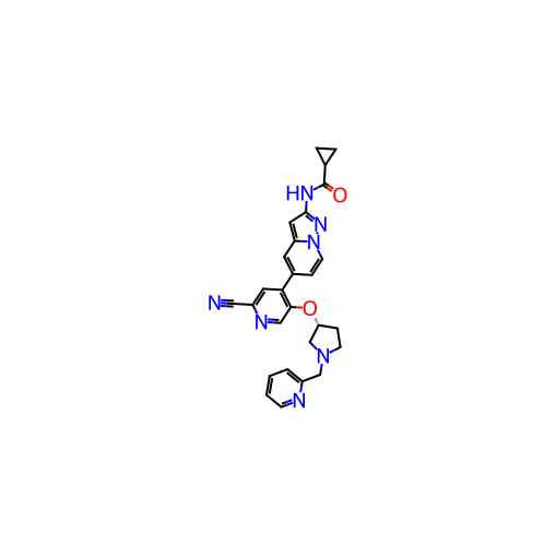 N#Cc1cc(-c2ccn3nc(NC(=O)C4CC4)cc3c2)c(O[C@@H]2CCN(Cc3ccccn3)C2)cn1